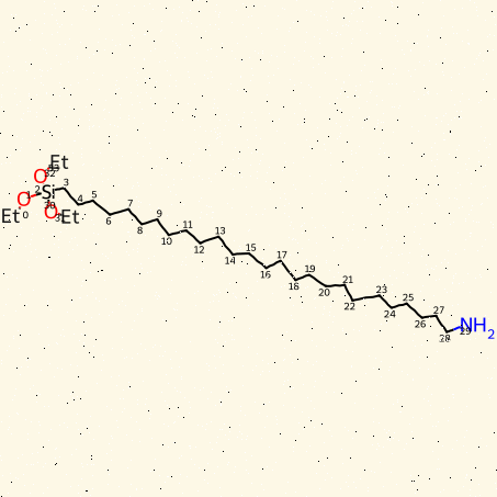 CCO[Si](CCCCCCCCCCCCCCCCCCCCCCCCCCN)(OCC)OCC